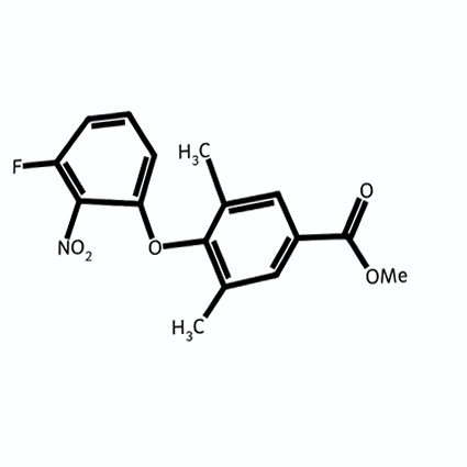 COC(=O)c1cc(C)c(Oc2cccc(F)c2[N+](=O)[O-])c(C)c1